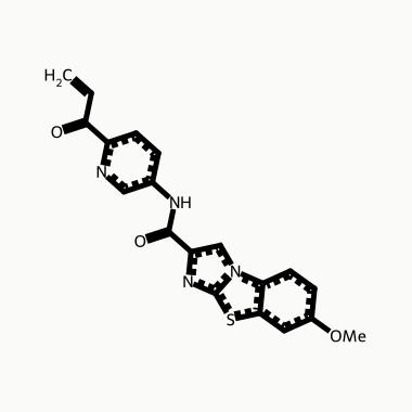 C=CC(=O)c1ccc(NC(=O)c2cn3c(n2)sc2cc(OC)ccc23)cn1